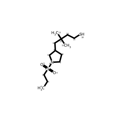 CCCS(=O)(=O)N1CCC(CC(C)(C)CCS)C1